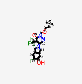 C[Si](C)(C)CCOCn1ncc(N2Cc3cc(O)c(F)cc3C2)c(C(F)(F)F)c1=O